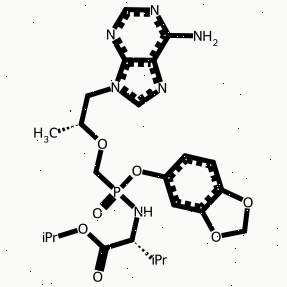 CC(C)OC(=O)[C@H](NP(=O)(CO[C@H](C)Cn1cnc2c(N)ncnc21)Oc1ccc2c(c1)OCO2)C(C)C